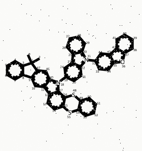 CC1(C)c2ccccc2-c2cc3c4ccc5c(c4n(-c4ccc6c(c4)c4ccccc4n6-c4ccc6oc7ccccc7c6c4)c3cc21)Sc1ccccc1S5